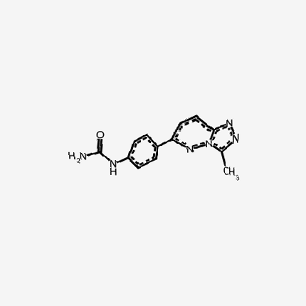 Cc1nnc2ccc(-c3ccc(NC(N)=O)cc3)nn12